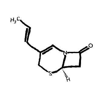 CC=CC1=CN2C(=O)C[C@H]2SC1